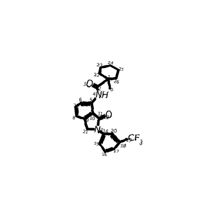 CC1(C(=O)Nc2cccc3c2C(=O)N(c2cccc(C(F)(F)F)c2)C3)CCCCC1